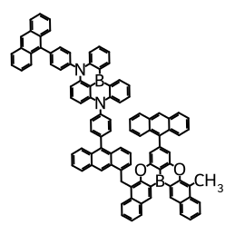 Cc1c2c(cc3ccccc13)B1c3cc4ccccc4c(Cc4cccc5c(-c6ccc(N7c8ccccc8B8c9ccccc9N(c9ccc(-c%10c%11ccccc%11cc%11ccccc%10%11)cc9)c9cccc7c98)cc6)c6ccccc6cc45)c3Oc3cc(-c4c5ccccc5cc5ccccc45)cc(c31)O2